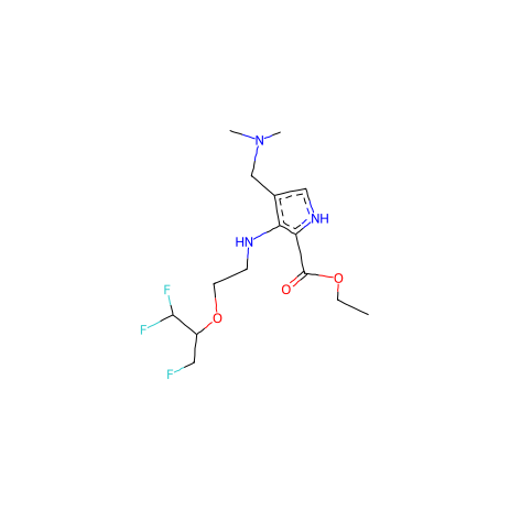 CCOC(=O)c1[nH]cc(CN(C)C)c1NCCOC(CF)C(F)F